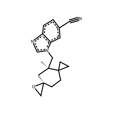 C[C@@]1(Cn2cnc3ccc(C#N)cc32)C[C@]2(CCC13CC3)CO2